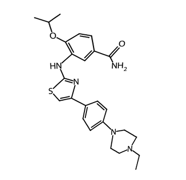 CCN1CCN(c2ccc(-c3csc(Nc4cc(C(N)=O)ccc4OC(C)C)n3)cc2)CC1